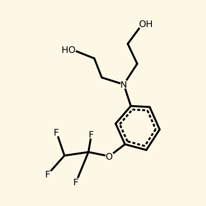 OCCN(CCO)c1cccc(OC(F)(F)C(F)F)c1